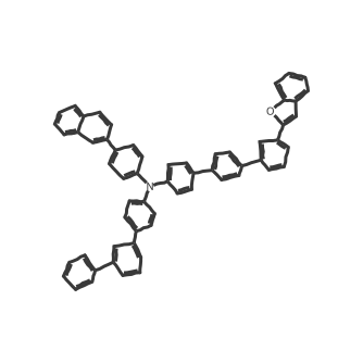 c1ccc(-c2cccc(-c3ccc(N(c4ccc(-c5ccc(-c6cccc(-c7cc8ccccc8o7)c6)cc5)cc4)c4ccc(-c5ccc6ccccc6c5)cc4)cc3)c2)cc1